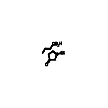 CC=CC(=O)O.CCN1CCC(=O)C1